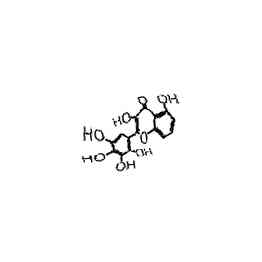 O=c1c(O)c(-c2cc(O)c(O)c(O)c2O)oc2cccc(O)c12